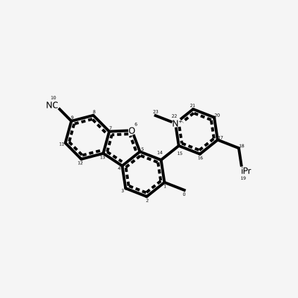 Cc1ccc2c(oc3cc(C#N)ccc32)c1-c1cc(CC(C)C)cc[n+]1C